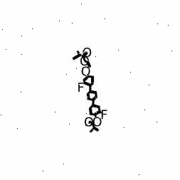 C=C(C)C(=O)O/C=C\Oc1ccc(-c2ccc(-c3ccc(OC(=O)C(=C)C)c(F)c3)cc2)c(F)c1